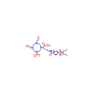 CCCN(CCC)S(=O)(=O)c1ccc(C(=O)NCCCC(C(=O)O)N2CCN(CC=O)CCN(CC=O)CCN(C(=O)OC)CC2)cc1